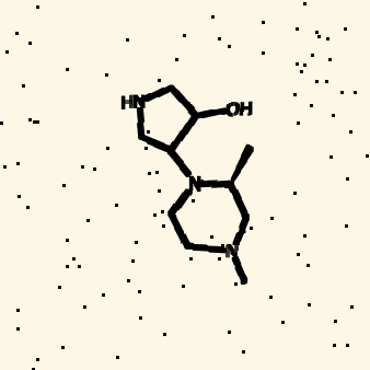 C[C@H]1CN(C)CCN1C1CNCC1O